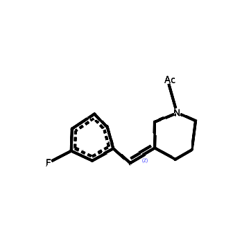 CC(=O)N1CCC/C(=C/c2cccc(F)c2)C1